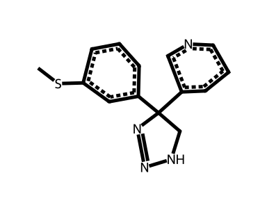 CSc1cccc(C2(c3cccnc3)CNN=N2)c1